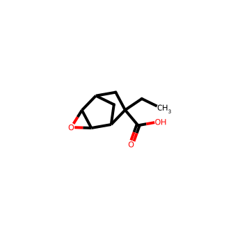 CCC1(C(=O)O)CC2CC1C1OC21